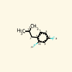 CC(C)Cc1ccc(F)cc1F